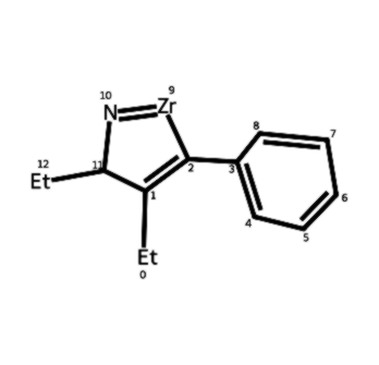 CCC1=[C](c2ccccc2)[Zr]=[N]C1CC